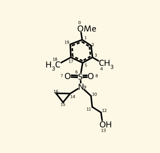 COc1cc(C)c(S(=O)(=O)N(CCCO)C2CC2)c(C)c1